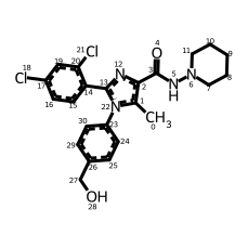 Cc1c(C(=O)NN2CCCCC2)nc(-c2ccc(Cl)cc2Cl)n1-c1ccc(CO)cc1